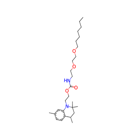 CCCCCCCOCCOCCNC(=O)OCCN1c2cc(C)ccc2C(C)CC1(C)C